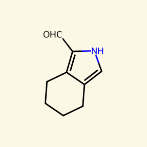 O=Cc1[nH]cc2c1CCCC2